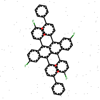 Fc1ccc(-c2c3ccc(F)cc3c(-c3ccc(-c4ccccc4)cc3)c3c(-c4ccc(F)cc4)c4ccc(F)cc4c(-c4ccc(-c5ccccc5)cc4)c23)cc1